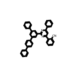 N#Cc1ccccc1-c1cc(-c2ccccc2)nc(-c2cc(-c3ccccc3)cc(-c3ccc(-c4ccccc4)cc3)c2)n1